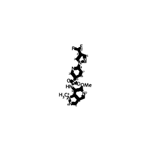 COc1ncc2cnn(C)c2c1NS(=O)(=O)c1ccc(-n2cc(C(F)F)cn2)nc1